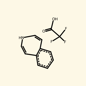 C1=Cc2ccccc2C=CN1.O=C(O)C(F)(F)F